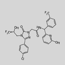 O=C(Cn1nc(-c2ccc(Cl)cc2)n(C[C@H](O)C(F)(F)F)c1=O)NC(c1cccc(C(F)(F)F)c1)c1cccc(O)n1